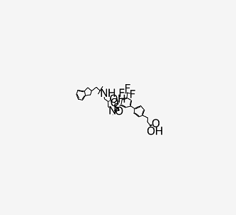 CN(C[C@H](O)CNC(C)(C)CC1Cc2ccccc2C1)S(=O)(=O)c1cc(-c2ccc(CCC(=O)O)cc2)cc(C(F)(F)F)c1